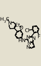 CCOc1cc(Nc2nc(-c3c(F)cccc3Cl)nc3ccnn23)ccc1C1=CCN(C)CC1